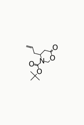 C=CCC1CC(=O)OCN1C(=O)OC(C)(C)C